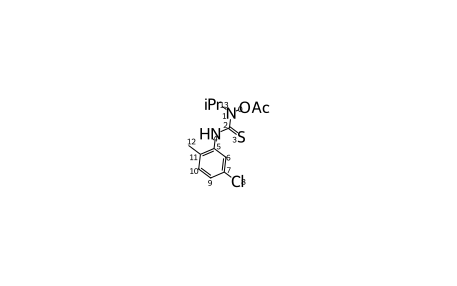 CC(=O)ON(C(=S)Nc1cc(Cl)ccc1C)C(C)C